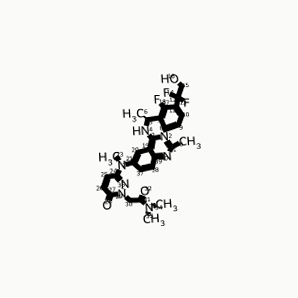 Cc1nc(N[C@H](C)c2cccc(C(F)(F)CO)c2F)c2cc(N(C)c3ccc(=O)n(CC(=O)N(C)C)n3)ccc2n1